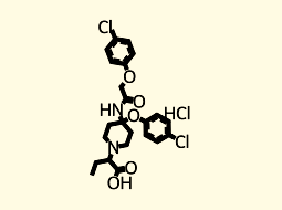 CCC(C(=O)O)N1CCC(NC(=O)COc2ccc(Cl)cc2)(Oc2ccc(Cl)cc2)CC1.Cl